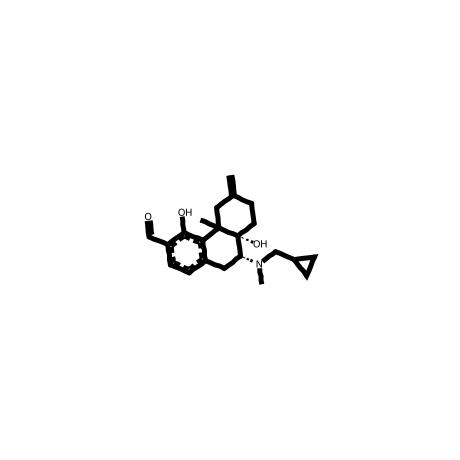 C=C1CC[C@@]2(O)[C@H](N(C)CC3CC3)Cc3ccc(C=O)c(O)c3C2(C)C1